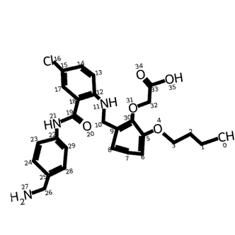 CCCCOc1cccc(CNc2ccc(Cl)cc2C(=O)Nc2ccc(CN)cc2)c1OCC(=O)O